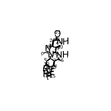 Cc1nc(NC(C)c2cccc(S(F)(F)(F)(F)F)c2)c2c[nH]c(=O)cc2n1